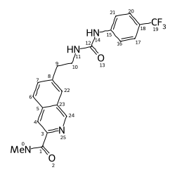 CNC(=O)c1cc2ccc(CCNC(=O)Nc3ccc(C(F)(F)F)cc3)cc2cn1